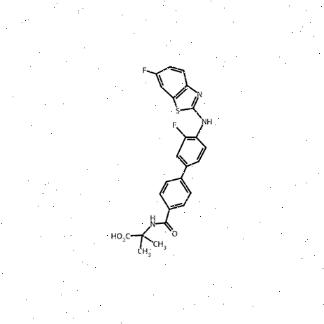 CC(C)(NC(=O)c1ccc(-c2ccc(Nc3nc4ccc(F)cc4s3)c(F)c2)cc1)C(=O)O